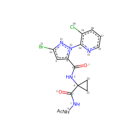 CC(=O)NNC(=O)C1(NC(=O)c2cc(Br)nn2-c2ncccc2Cl)CC1